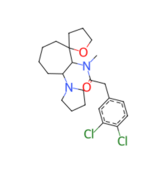 CN(C(=O)Cc1ccc(Cl)c(Cl)c1)C1C(N2CCCC2)CCCCC12CCCO2